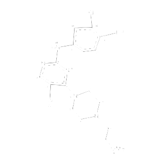 COCCN1CCN(c2nc(Nc3ccc(F)c(Cl)c3)ncc2Br)CC1